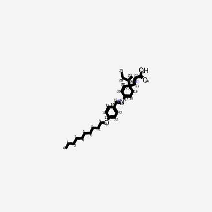 CCCCCCCCCCOc1ccc(/C=N/C2=CCC(/C=C/C(=O)O)(C(C)CC)C=C2)cc1